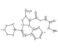 CC(C)(C)OC(=O)NCC(=O)N1C(C(=O)O)CC(C(=O)N2CCOCC2)C1c1ccccc1F